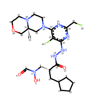 O=CN(O)C[C@@H](CC1CCCC1)C(=O)NNc1nc(CF)nc(N2CCN3CCOC[C@@H]3C2)c1F